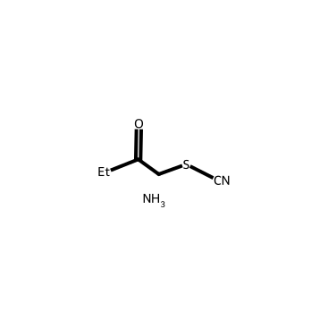 CCC(=O)CSC#N.N